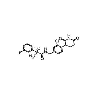 CC(C)(C(=O)NCc1ccc(C2CCC(=O)NC2=O)c(Cl)c1)c1cccc(F)c1